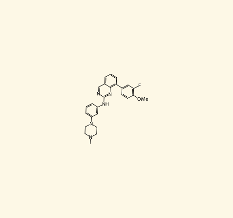 COc1ccc(-c2cccc3cnc(Nc4cccc(N5CCN(C)CC5)c4)nc23)cc1F